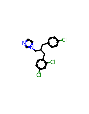 Clc1ccc(CC(Cc2ccc(Cl)cc2Cl)Cn2ccnc2)cc1